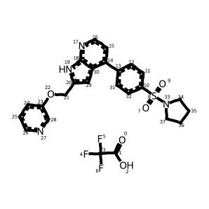 O=C(O)C(F)(F)F.O=S(=O)(c1ccc(-c2ccnc3[nH]c(COc4cccnc4)cc23)cc1)N1CCCC1